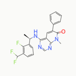 C[C@@H](Nc1ncnc2c1cc(-c1ccccc1)c(=O)n2C)c1cccc(C(F)F)c1F